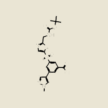 Cn1cc(-c2cc(C(=O)O)cc(S(=O)(=O)c3cnc(CNC(=O)OC(C)(C)C)s3)c2)cn1